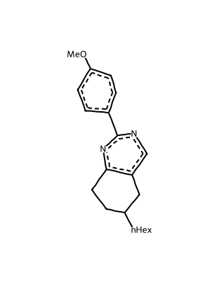 CCCCCCC1CCc2nc(-c3ccc(OC)cc3)ncc2C1